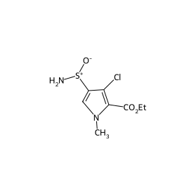 CCOC(=O)c1c(Cl)c([S+](N)[O-])cn1C